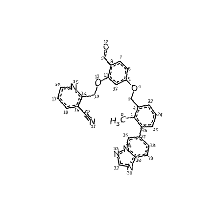 Cc1c(COc2ccc(C=O)c(OCc3ncccc3C#N)c2)cccc1-c1ccc2ncnn2c1